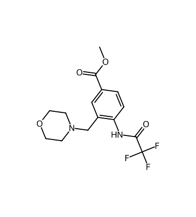 COC(=O)c1ccc(NC(=O)C(F)(F)F)c(CN2CCOCC2)c1